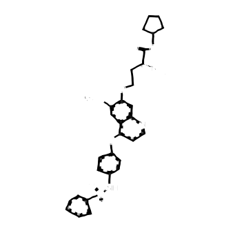 COc1cc2c(Oc3ccc(NS(=O)(=O)c4ccccc4)cc3)ccnc2cc1OCC[C@H](N)C(=O)OC1CCCC1